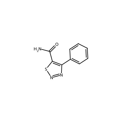 NC(=O)c1snnc1-c1ccccc1